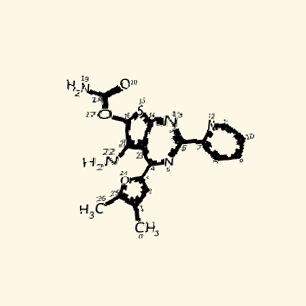 Cc1cc(-c2nc(-c3ccccn3)nc3sc(OC(N)=O)c(N)c23)oc1C